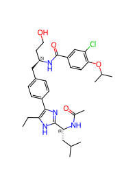 CCc1[nH]c([C@@H](CC(C)C)NC(C)=O)nc1-c1ccc(C[C@@H](CCO)NC(=O)c2ccc(OC(C)C)c(Cl)c2)cc1